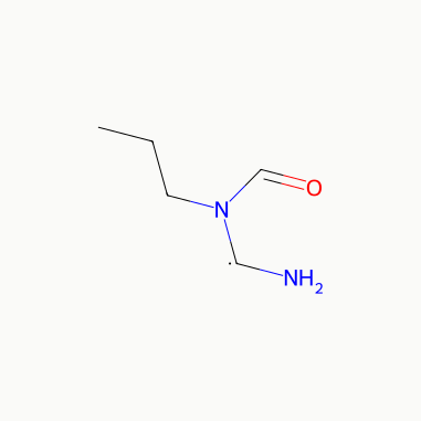 CCCN([CH]N)C=O